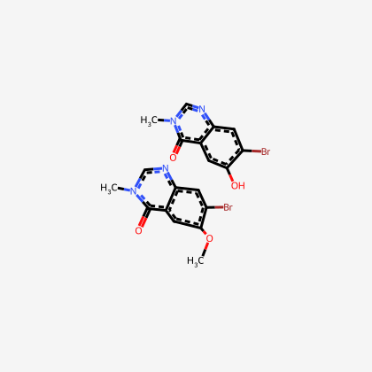 COc1cc2c(=O)n(C)cnc2cc1Br.Cn1cnc2cc(Br)c(O)cc2c1=O